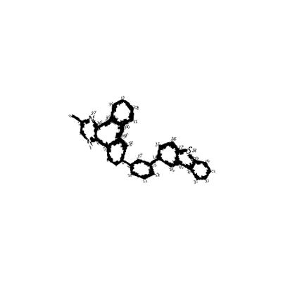 Cc1cnc2c3ccc(-c4cccc(-c5ccc6sc7ccccc7c6c5)c4)cc3c3ccccc3c2n1